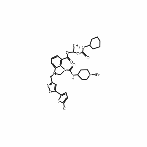 CC(OC(=O)OC1CCCCC1)OC(=O)c1cccc2c1N(C(=O)NC1CCN(C(C)C)CC1)CN2Cc1cc(-c2ccc(Cl)s2)on1